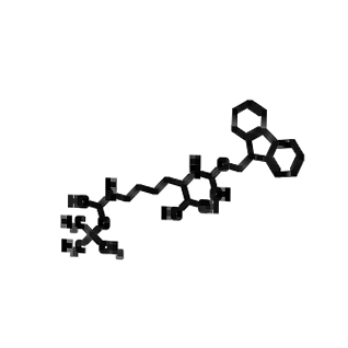 CC(C)(C)OC(O)NCCCCC(NC(O)OCC1C2=C(C=CCC2)c2ccccc21)C(O)O